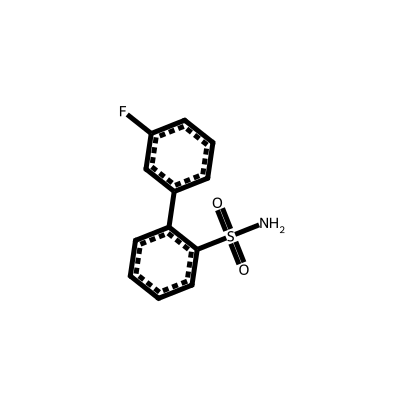 NS(=O)(=O)c1ccccc1-c1cccc(F)c1